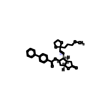 COCCCC1(/C=C/[C@@H]2[C@H]3CC(=O)O[C@H]3C[C@H]2OC(=O)c2ccc(-c3ccccc3)cc2)OCCO1